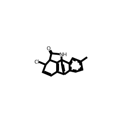 Cc1ccc2c(c1)C13C=CC2C2=C1C(C(=O)N3)C(Cl)C=C2